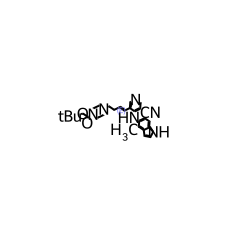 Cc1c(Nc2c(C#N)cncc2/C=C/CCN2CCN(C(=O)OC(C)(C)C)CC2)ccc2[nH]ccc12